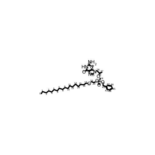 CCCCCCCCCCCCCCCCCCOCCOP(=O)(COC(C)Cn1cnc2c(=O)[nH]c(N)nc21)OCc1ccccc1